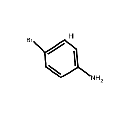 I.Nc1ccc(Br)cc1